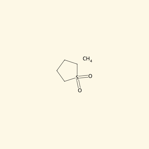 C.O=S1(=O)CCCC1